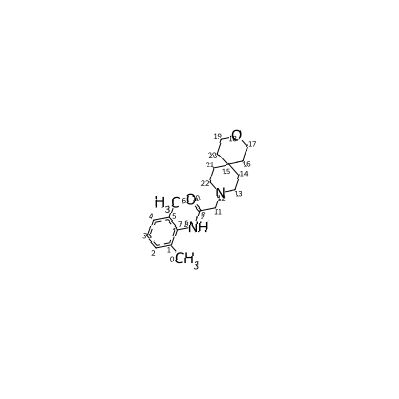 Cc1cccc(C)c1NC(=O)CN1CCC2(CCOCC2)CC1